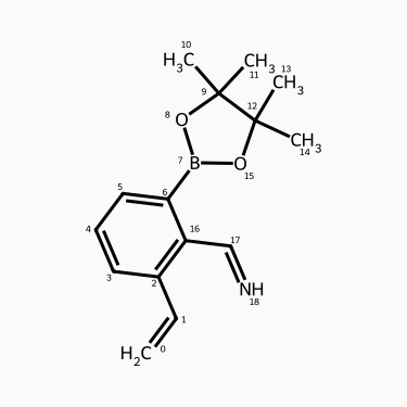 C=Cc1cccc(B2OC(C)(C)C(C)(C)O2)c1C=N